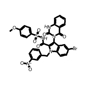 COc1ccc(S(=O)(=O)NC(=O)c2c(-n3c(=O)[nH]c4ccccc4c3=O)c3cc(Br)ccc3n2Cc2cccc([N+](=O)[O-])c2)cc1